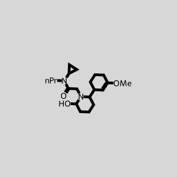 CCCN(C(=O)CN1C(O)CCCC1C1C=C(OC)CCC1)C1CC1